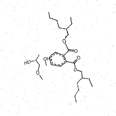 CCCCC(CC)COC(=O)c1ccccc1C(=O)OCC(CC)CCCC.CO.COCC(C)O